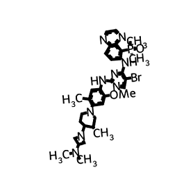 COc1cc(N2CCC(N3CC(N(C)C)C3)C(C)C2)c(C)cc1Nc1ncc(Br)c(Nc2ccc3nccnc3c2P(C)(C)=O)n1